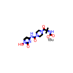 CC(C)(C)OC(=O)NC(C)(C)C(=O)N1CCN(C(=O)Nc2ccn(O)c(=O)n2)CC1